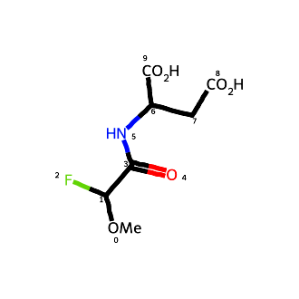 COC(F)C(=O)NC(CC(=O)O)C(=O)O